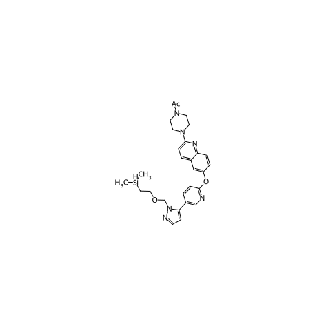 CC(=O)N1CCN(c2ccc3cc(Oc4ccc(-c5ccnn5COCC[SiH](C)C)cn4)ccc3n2)CC1